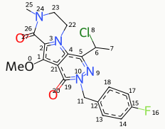 COc1c2n(c3c(C(C)Cl)nn(Cc4ccc(F)cc4)c(=O)c13)CCN(C)C2=O